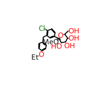 CCOc1ccc(Cc2cc([C@@]3(OC)OC(CO)C(O)C(O)C3O)ccc2Cl)cc1